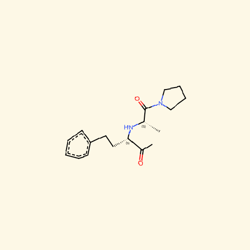 CC(=O)[C@H](CCc1ccccc1)N[C@@H](C)C(=O)N1CCCC1